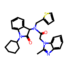 Cc1nc2ccccc2n1CC(=O)N(Cc1cccs1)C1C(=O)N(C2CCCCC2)c2ccccc21